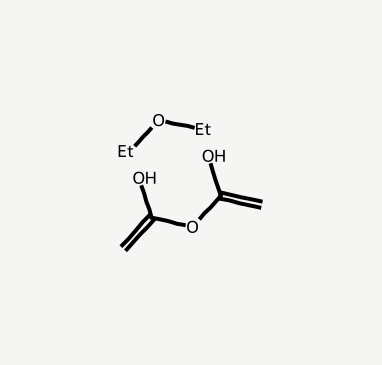 C=C(O)OC(=C)O.CCOCC